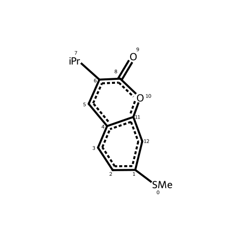 CSc1ccc2cc(C(C)C)c(=O)oc2c1